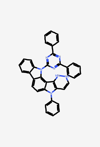 C1=Cc2c(c3c(ccc4c5ccccc5n(-c5nc(-c6ccccc6)nc(-c6ccccc6)n5)c43)n2-c2ccccc2)NN1